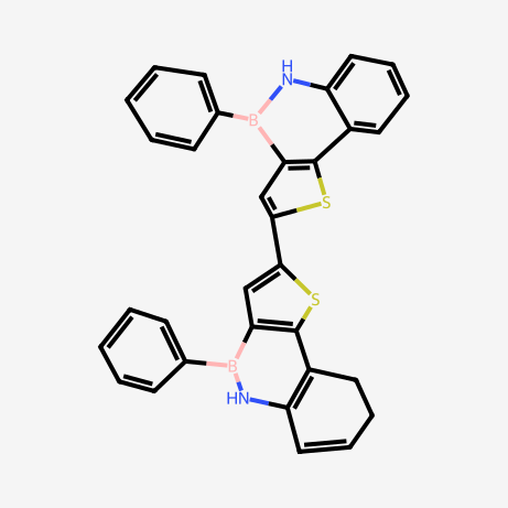 C1=CC2=C(CC1)c1sc(-c3cc4c(s3)-c3ccccc3NB4c3ccccc3)cc1B(c1ccccc1)N2